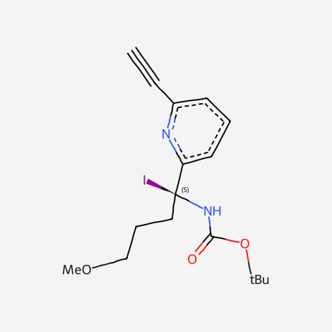 C#Cc1cccc([C@@](I)(CCCOC)NC(=O)OC(C)(C)C)n1